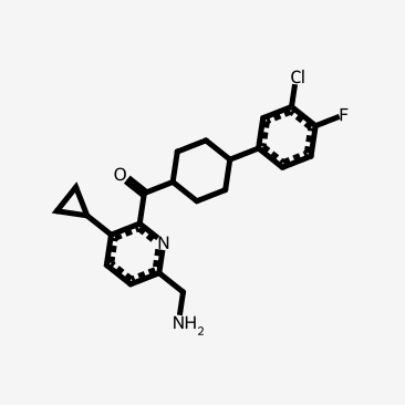 NCc1ccc(C2CC2)c(C(=O)C2CCC(c3ccc(F)c(Cl)c3)CC2)n1